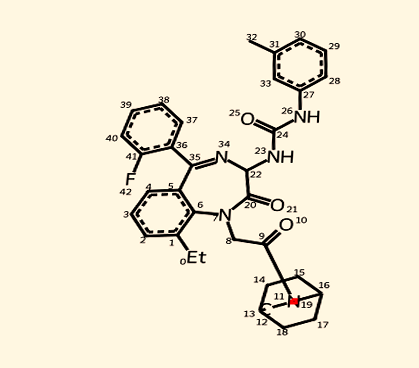 CCc1cccc2c1N(CC(=O)N1CC3CCC(CC3)C1)C(=O)C(NC(=O)Nc1cccc(C)c1)N=C2c1ccccc1F